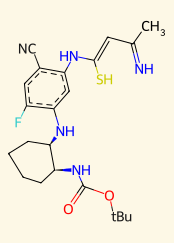 CC(=N)/C=C(\S)Nc1cc(N[C@@H]2CCCC[C@@H]2NC(=O)OC(C)(C)C)c(F)cc1C#N